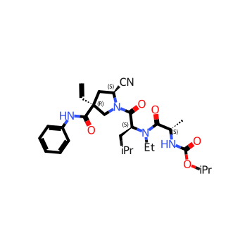 C=C[C@]1(C(=O)Nc2ccccc2)C[C@@H](C#N)N(C(=O)[C@H](CC(C)C)N(CC)C(=O)[C@H](C)NC(=O)OC(C)C)C1